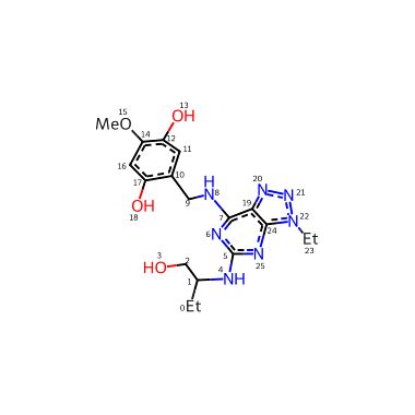 CCC(CO)Nc1nc(NCc2cc(O)c(OC)cc2O)c2nnn(CC)c2n1